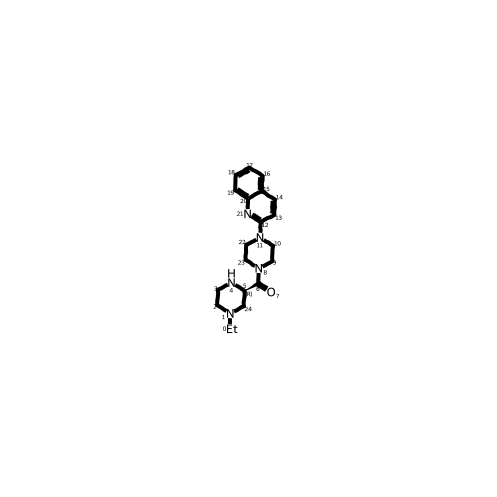 CCN1CCN[C@@H](C(=O)N2CCN(c3ccc4ccccc4n3)CC2)C1